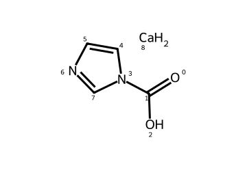 O=C(O)n1ccnc1.[CaH2]